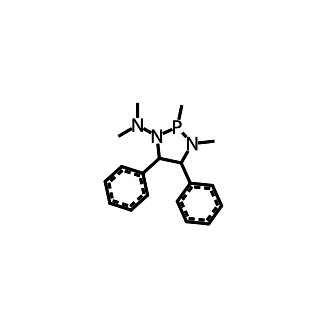 CN(C)N1C(c2ccccc2)C(c2ccccc2)N(C)P1C